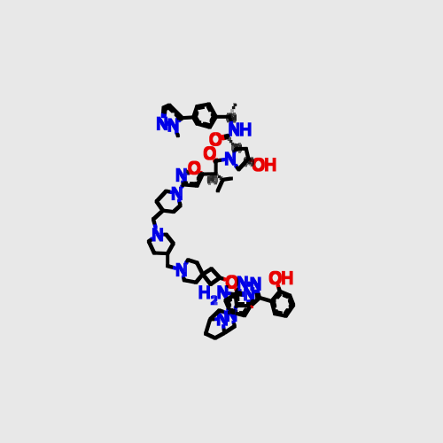 CC(C)[C@@H](C(=O)N1C[C@H](O)C[C@H]1C(=O)N[C@@H](C)c1ccc(-c2ccnn2C)cc1)c1cc(N2CCC(CN3CCC(CN4CCC5(CC4)CC(Oc4cc(N6C7CCC6CN(c6cc(-c8ccccc8O)nnc6N)C7)ccn4)C5)CC3)CC2)no1